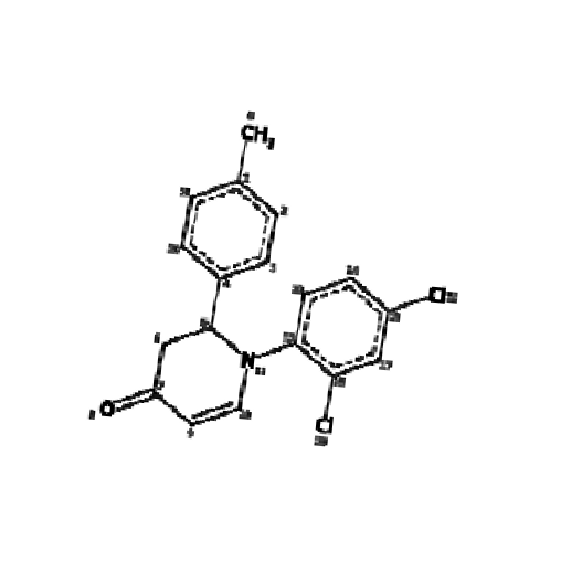 Cc1ccc(C2CC(=O)C=CN2c2ccc(Cl)cc2Cl)cc1